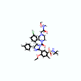 CCOc1cc(C)c(S(=O)(=O)NC(C)(C)C)cc1C1=N[C@@H](c2ccc(C)cc2)[C@@H](c2ccc(Cl)cc2)N1C(=O)N1CCN(CC(=O)N(C)OC)CC1